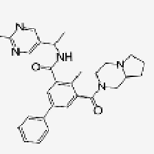 Cc1ncc(C(C)NC(=O)c2cc(-c3ccccc3)cc(C(=O)N3CCN4CCCC4C3)c2C)cn1